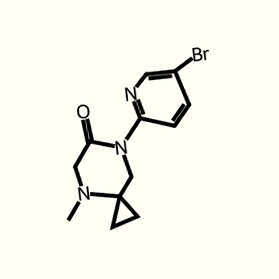 CN1CC(=O)N(c2ccc(Br)cn2)CC12CC2